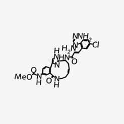 COC(=O)Nc1ccc2c(c1)C(=O)NCC/C=C\C[C@H](NC(=O)/C=C/c1cc(Cl)ccc1N(N)/C=N\N)c1nc-2c[nH]1